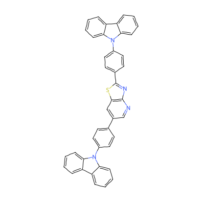 c1ccc2c(c1)c1ccccc1n2-c1ccc(-c2cnc3nc(-c4ccc(-n5c6ccccc6c6ccccc65)cc4)sc3c2)cc1